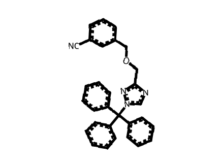 N#Cc1cccc(COCc2ncn(C(c3ccccc3)(c3ccccc3)c3ccccc3)n2)c1